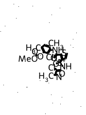 COC(=O)Oc1c(C)cc(C)c(NC(=O)c2sccc2[S+]([O-])Nc2onc(C)c2Cl)c1C